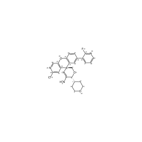 NC1=N[C@@]2(CO[C@@H]1C1CCOCC1)c1cc(-c3cccnc3F)ccc1Oc1cnc(Cl)cc12